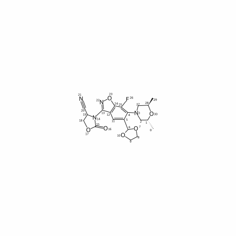 C[C@@H]1CN(c2c(C3OCCO3)cc3c(N4C(=O)OCC4C#N)noc3c2F)C[C@@H](C)O1